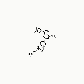 CN1CC(c2cnn3c(N)cc([C@H]4CC[C@@H](C(=O)NCCN)NC4)nc23)C=N1